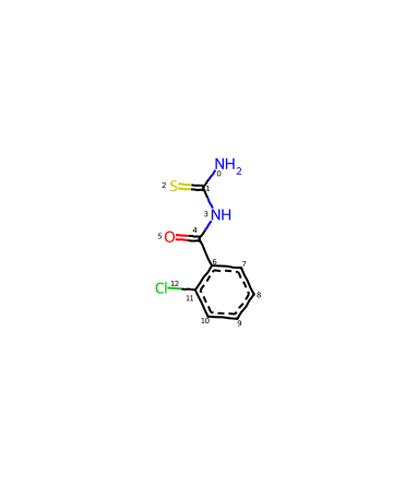 NC(=S)NC(=O)c1ccccc1Cl